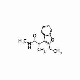 CCc1oc2ccccc2c1C(C)C(=O)NC